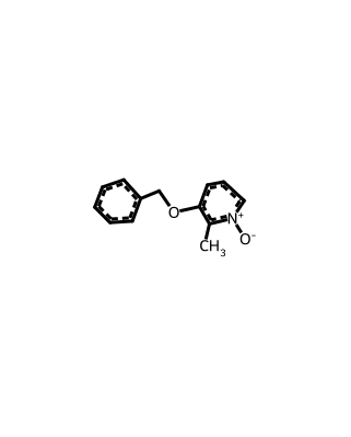 Cc1c(OCc2ccccc2)ccc[n+]1[O-]